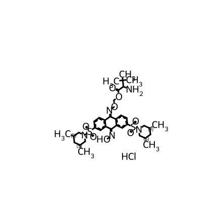 C[C@@H]1C[C@H](C)CN(S(=O)(=O)c2ccc3c(c2)C(=NO)c2cc(S(=O)(=O)N4C[C@H](C)C[C@H](C)C4)ccc2C3=NOCOC(=O)C(N)C(C)(C)C)C1.Cl